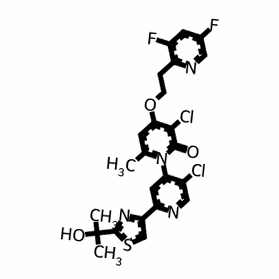 Cc1cc(OCCc2ncc(F)cc2F)c(Cl)c(=O)n1-c1cc(-c2csc(C(C)(C)O)n2)ncc1Cl